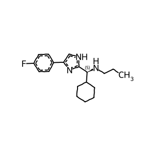 CCCN[C@H](c1nc(-c2ccc(F)cc2)c[nH]1)C1CCCCC1